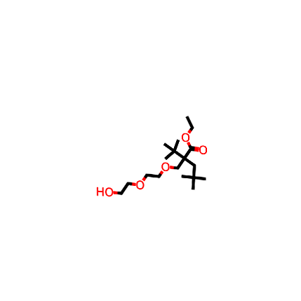 CCOC(=O)C(COCCOCCO)(CC(C)(C)C)C(C)(C)C